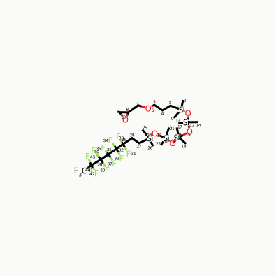 C[Si](C)(CCCOCC1CO1)O[Si](C)(C)O[Si](C)(C)O[Si](C)(C)O[Si](C)(C)CCC(F)(F)C(F)(F)C(F)(F)C(F)(F)C(F)(F)C(F)(F)F